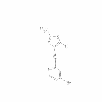 Cc1cc(C#Cc2cccc(Br)c2)c(Cl)s1